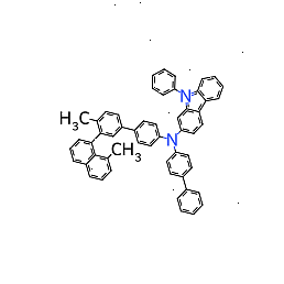 Cc1ccc(-c2ccc(N(c3ccc(-c4ccccc4)cc3)c3ccc4c5ccccc5n(-c5ccccc5)c4c3)cc2)cc1-c1cccc2cccc(C)c12